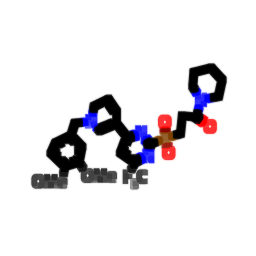 COc1ccc(CN2C=C(c3cc(C(F)(F)F)nc(S(=O)(=O)CCC(=O)N4CCCCC4)n3)C=CC2)cc1OC